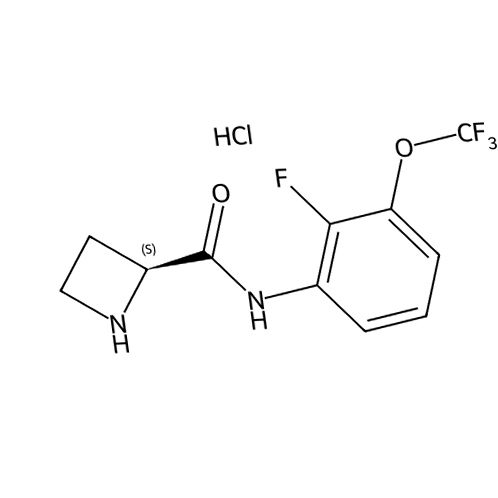 Cl.O=C(Nc1cccc(OC(F)(F)F)c1F)[C@@H]1CCN1